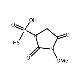 CON1C(=O)CN(P(=O)(O)S)C1=O